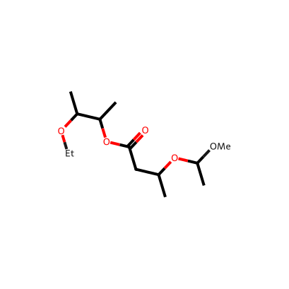 CCOC(C)C(C)OC(=O)CC(C)OC(C)OC